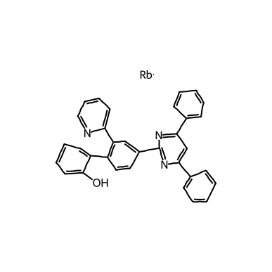 Oc1ccccc1-c1ccc(-c2nc(-c3ccccc3)cc(-c3ccccc3)n2)cc1-c1ccccn1.[Rb]